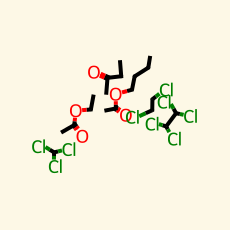 CCC(C)=O.CCCCOC(C)=O.CCOC(C)=O.ClC(Cl)C(Cl)Cl.ClC(Cl)Cl.ClCCCl